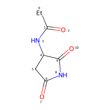 CCC(=O)NC1CC(=O)NC1=O